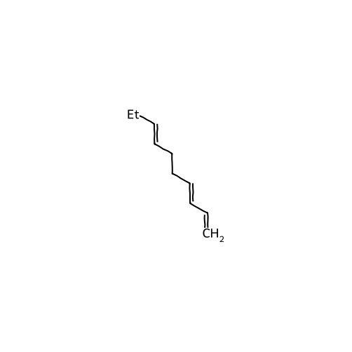 C=CC=CCCC=CCC